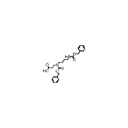 O=C(O)CCN(CCCCNC(=O)OCc1ccccc1)C(=O)OCc1ccccc1